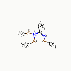 CSN=C(C)N(SC)SC